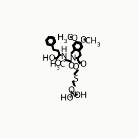 COc1cc2c(cc1OC)CN(C(=O)C(C)NC(CCc1ccccc1)C(=O)O)C(C(=O)OCCSCCON(O)O)C2